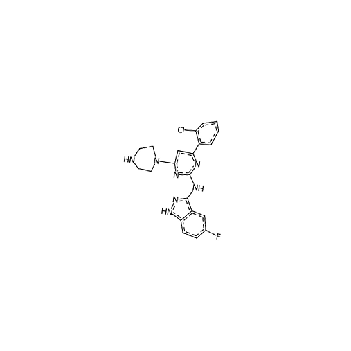 Fc1ccc2[nH]nc(Nc3nc(-c4ccccc4Cl)cc(N4CCNCC4)n3)c2c1